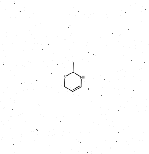 CC1NC=CCS1